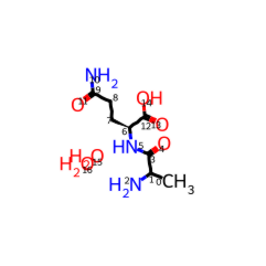 CC(N)C(=O)N[C@@H](CCC(N)=O)C(=O)O.O.O